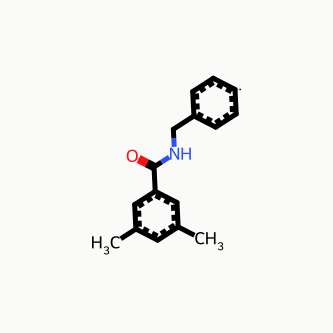 Cc1cc(C)cc(C(=O)NCc2cc[c]cc2)c1